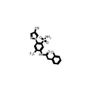 N#Cc1cnn(-c2cc(C(F)(F)F)c(NC(=O)Cc3ccccc3Cl)cc2S(N)(=O)=O)c1